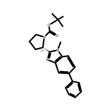 Cn1c([C@@H]2CCCN2C(=O)OC(C)(C)C)nc2cc(-c3ccccc3)ccc21